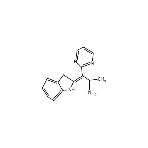 CC(N)/C(=C1/Cc2ccccc2N1)c1ncccn1